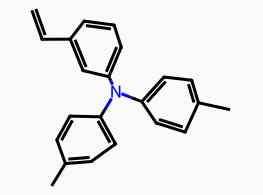 C=Cc1cccc(N(c2ccc(C)cc2)c2ccc(C)cc2)c1